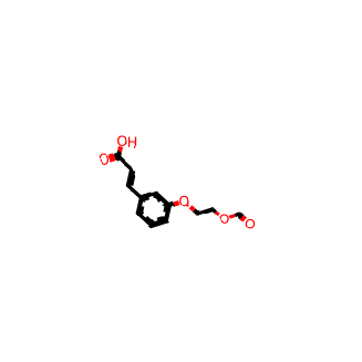 O=COCCOc1cccc(C=CC(=O)O)c1